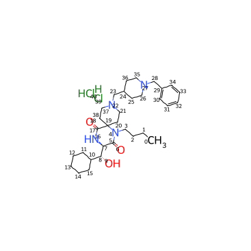 CCCCN1C(=O)[C@@H]([C@H](O)C2CCCCC2)NC(=O)C12CCN(CC1CCN(Cc3ccccc3)CC1)CC2.Cl.Cl